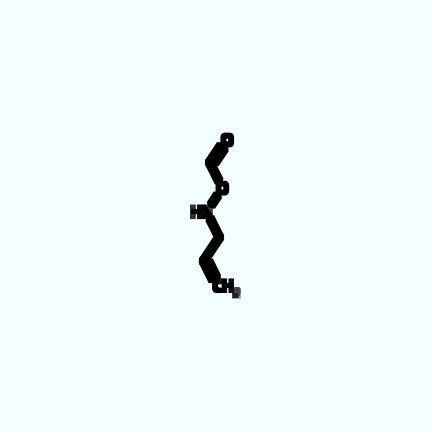 C=CCNOC=O